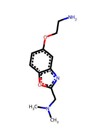 CN(C)Cc1nc2cc(OCCN)ccc2o1